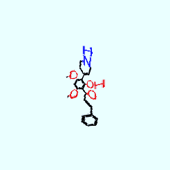 COc1cc(OC)c(C2=CCNCC2)c(O)c1C(=O)C=Cc1ccccc1